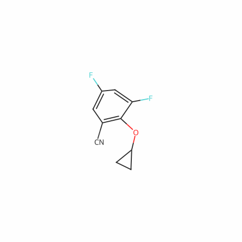 N#Cc1cc(F)cc(F)c1OC1CC1